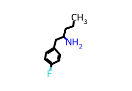 CCCC(N)Cc1ccc(F)cc1